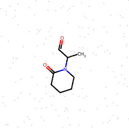 CC(C=O)N1CCCCC1=O